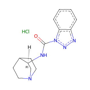 Cl.O=C(N[C@H]1CN2CCC1CC2)n1nnc2ccccc21